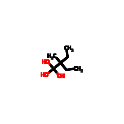 CCC(C)(CC)[Si](O)(O)O